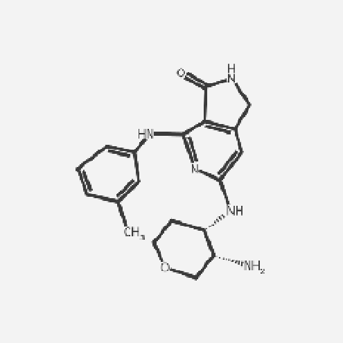 Cc1cccc(Nc2nc(N[C@H]3CCOC[C@H]3N)cc3c2C(=O)NC3)c1